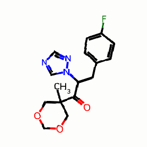 CC1(C(=O)C(Cc2ccc(F)cc2)n2cncn2)COCOC1